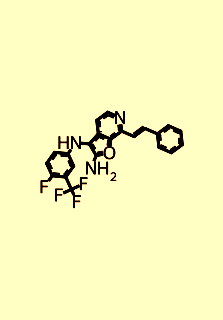 Nc1oc2c(/C=C/c3ccccc3)nccc2c1Nc1ccc(F)c(C(F)(F)F)c1